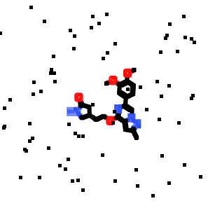 COc1ccc(-c2cn3nc(C)cc3c(OCC[C@H]3CNC(=O)C3)n2)cc1OC